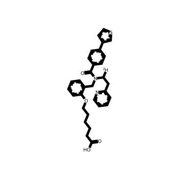 [2H]C(Cc1ccccn1)N(Cc1ccccc1OCCCCCC(=O)O)C(=O)c1ccc(-c2ccsc2)cc1